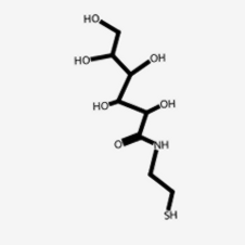 O=C(NCCS)C(O)C(O)C(O)C(O)CO